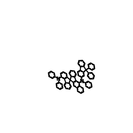 c1ccc(N(c2ccccc2)c2cccc3c2-c2ccccc2C32c3ccccc3-c3c2cc2ccccc2c3N(c2ccccc2)c2ccc3c(c2)C(c2ccccc2)(c2ccccc2)c2ccccc2-3)cc1